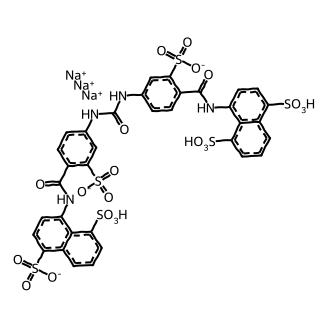 O=C(Nc1ccc(C(=O)Nc2ccc(S(=O)(=O)[O-])c3cccc(S(=O)(=O)O)c23)c(S(=O)(=O)[O-])c1)Nc1ccc(C(=O)Nc2ccc(S(=O)(=O)O)c3cccc(S(=O)(=O)O)c23)c(S(=O)(=O)[O-])c1.[Na+].[Na+].[Na+]